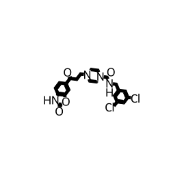 O=C(CCN1CCN(C(=O)NCc2cc(Cl)cc(Cl)c2)CC1)c1ccc2[nH]c(=O)oc2c1